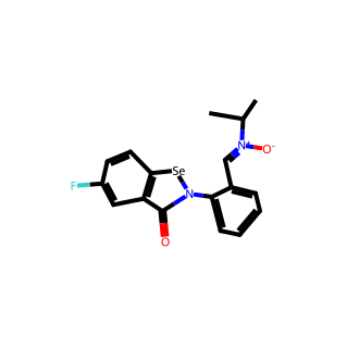 CC(C)[N+]([O-])=Cc1ccccc1-n1[se]c2ccc(F)cc2c1=O